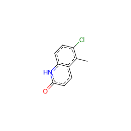 Cc1c(Cl)ccc2[nH]c(=O)ccc12